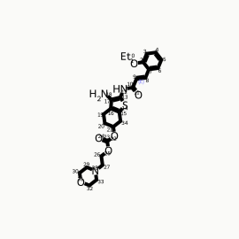 CCOc1ccccc1/C=C/C(=O)Nc1sc2c(c1N)CCC(OC(=O)OCCN1CCOCC1)C2